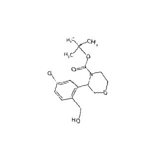 CC(C)(C)OC(=O)N1CCOCC1c1cc(Cl)ccc1CO